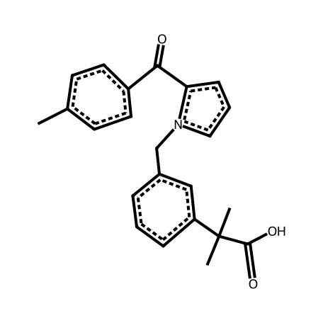 Cc1ccc(C(=O)c2cccn2Cc2cccc(C(C)(C)C(=O)O)c2)cc1